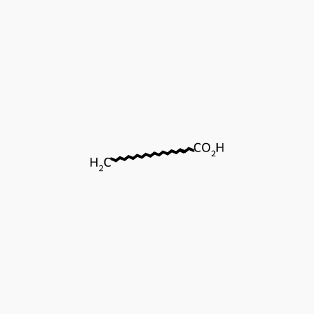 C=CCCCCCCCCCCCCCCC/C=C/CCC(=O)O